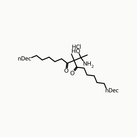 CCCCCCCCCCCCCCCC(=O)C(C)(C(=O)CCCCCCCCCCCCCCC)C(C)(N)O.Cl